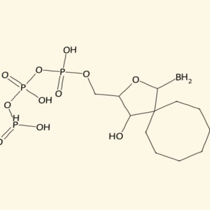 BC1OC(COP(=O)(O)OP(=O)(O)O[PH](=O)O)C(O)C12CCCCCCC2